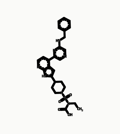 CCN(C(=O)O)S(=O)(=O)N1CCC(c2cc3c(-c4cncc(NCc5ccccc5)n4)ccnc3[nH]2)CC1